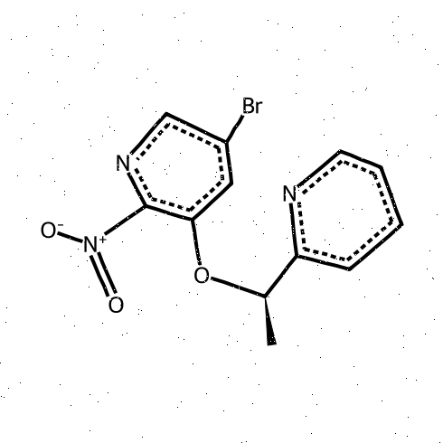 C[C@@H](Oc1cc(Br)cnc1[N+](=O)[O-])c1ccccn1